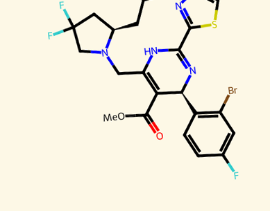 COC(=O)C1=C(CN2CC(F)(F)C[C@H]2CCC(=O)O)NC(c2nccs2)=N[C@H]1c1ccc(F)cc1Br